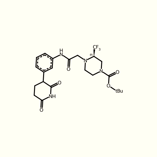 CC(C)(C)OC(=O)N1CCN(CC(=O)Nc2cccc(C3CCC(=O)NC3=O)c2)[C@@H](C(F)(F)F)C1